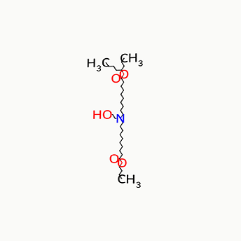 CCCCOC(=O)CCCCCCCCCN(CCO)CCCCCCCCCC(=O)OC(CCC)CCCC